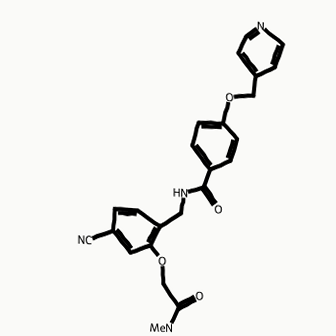 CNC(=O)COc1cc(C#N)ccc1CNC(=O)c1ccc(OCc2ccncc2)cc1